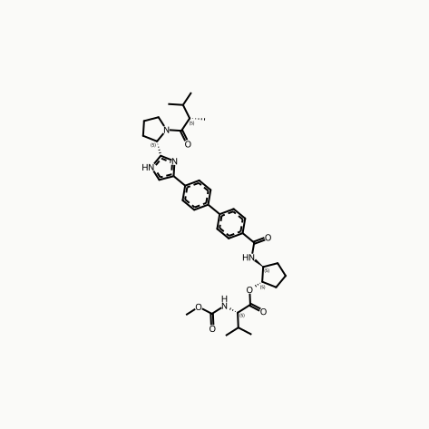 COC(=O)N[C@H](C(=O)O[C@H]1CCC[C@@H]1NC(=O)c1ccc(-c2ccc(-c3c[nH]c([C@@H]4CCCN4C(=O)[C@@H](C)C(C)C)n3)cc2)cc1)C(C)C